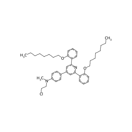 CCCCCCCCOc1ccccc1-c1cc(-c2ccc(N(C)CCCl)cc2)cc(-c2ccccc2OCCCCCCCC)n1